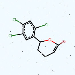 Clc1cc(Cl)c(C2CCC=C(Br)O2)cc1Cl